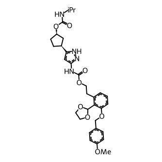 COc1ccc(COc2cccc(CCOC(=O)Nc3cc([C@H]4CC[C@@H](OC(=O)NC(C)C)C4)[nH]n3)c2C2OCCO2)cc1